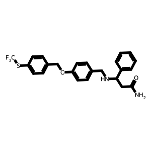 NC(=O)CC(NCc1ccc(OCc2ccc(SC(F)(F)F)cc2)cc1)c1ccccc1